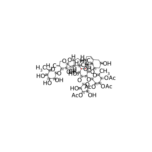 C=C1CO[C@@]2(O[C@H]3C[C@H]4[C@@H]5CC=C6C[C@@H](O)C[C@@H](O[C@@H]7OC[C@H](O)[C@H](O[C@@H]8OC[C@@H](O)[C@H](OC(C)=O)[C@H]8O)[C@H]7O[C@@H]7O[C@@H](C)[C@H](OC(C)=O)[C@@H](OC(C)=O)[C@H]7OC(C)=O)[C@]6(C)[C@H]5CC[C@]4(C)[C@H]3[C@@H]2C)[C@@H](O)[C@H]1O[C@@H]1O[C@H](C)[C@H](O)[C@H](O)[C@H]1O